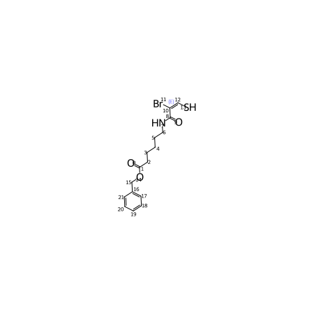 O=C(CCCCCNC(=O)/C(Br)=C\S)OCc1ccccc1